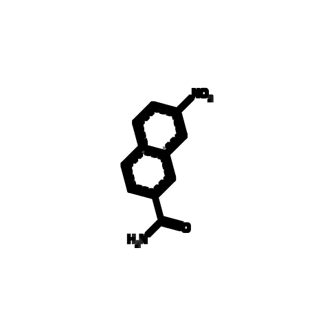 NC(=O)c1ccc2ccc([N+](=O)[O-])cc2c1